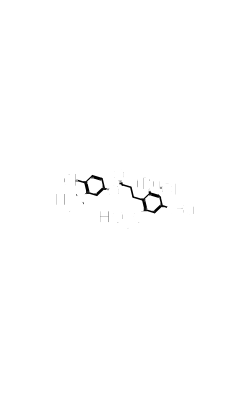 CC(C)(C)c1cc(C(=O)O)c(CCC(=O)Oc2ccc(Cl)c(N)c2)c(C(C)(C)C)c1O